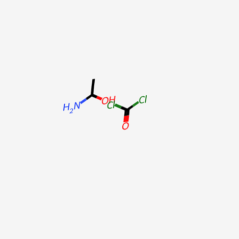 CC(N)O.O=C(Cl)Cl